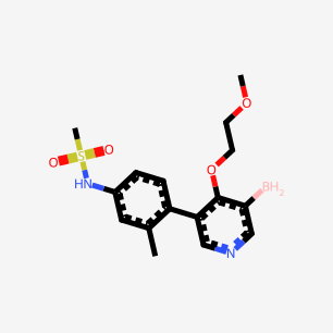 Bc1cncc(-c2ccc(NS(C)(=O)=O)cc2C)c1OCCOC